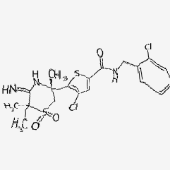 CC1(C)C(=N)N[C@](C)(c2sc(C(=O)NCc3ccccc3Cl)cc2Cl)CS1(=O)=O